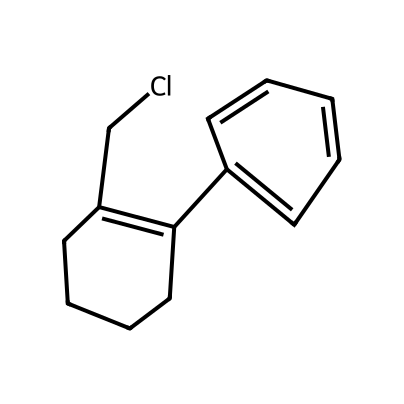 ClCC1=C(c2ccccc2)CCCC1